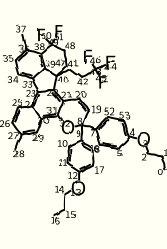 CCCOc1ccc(C2(c3ccc(OCCC)cc3)C=Cc3c4c(c5ccc(C)cc5c3O2)-c2ccc(C)c3c2C4(CCC(F)(F)F)CCC3(F)F)cc1